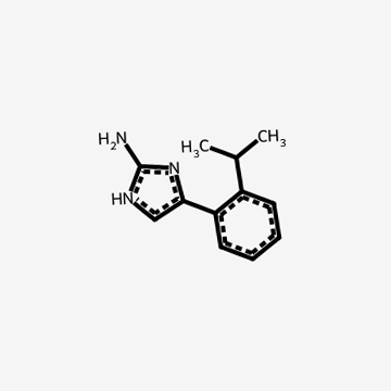 CC(C)c1ccccc1-c1c[nH]c(N)n1